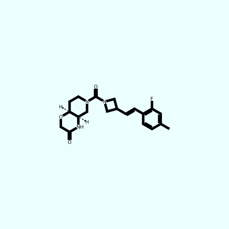 Cc1ccc(/C=C/C2CN(C(=O)N3CC[C@@H]4OCC(=O)N[C@@H]4C3)C2)c(F)c1